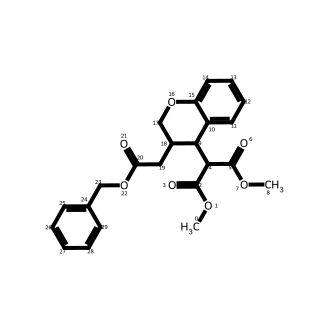 COC(=O)C(C(=O)OC)C1c2ccccc2OCC1CC(=O)OCc1ccccc1